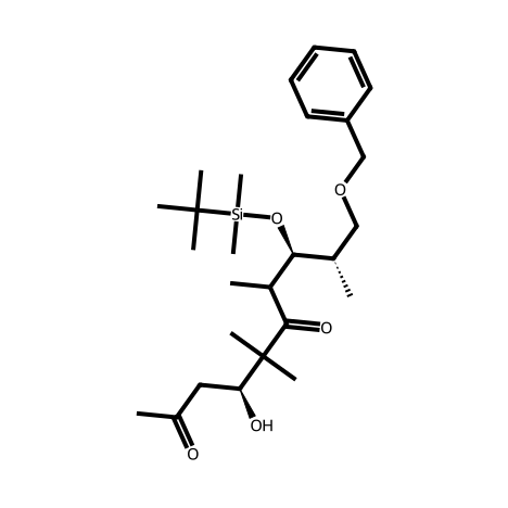 CC(=O)C[C@H](O)C(C)(C)C(=O)C(C)[C@@H](O[Si](C)(C)C(C)(C)C)[C@@H](C)COCc1ccccc1